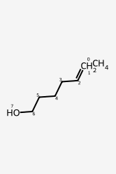 C.C=CCCCCO